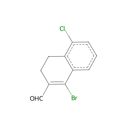 O=CC1=C(Br)c2cccc(Cl)c2CC1